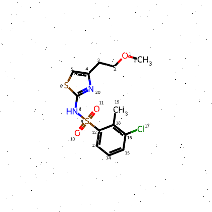 COCCc1csc(NS(=O)(=O)c2cccc(Cl)c2C)n1